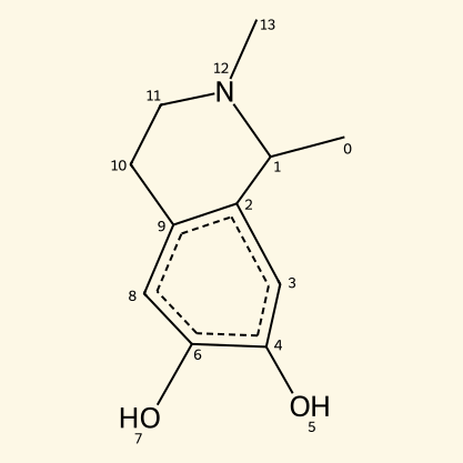 CC1c2cc(O)c(O)cc2CCN1C